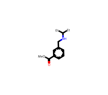 CCC(CC)NCc1cccc(C(=O)OC)c1